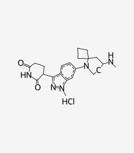 CNC1CCN(c2ccc3c(C4CCC(=O)NC4=O)nn(C)c3c2)C2(CCC2)C1.Cl